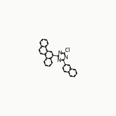 Clc1nc(-c2ccc3ccccc3c2)nc(-c2cc3c4ccccc4ccc3c3ccccc23)n1